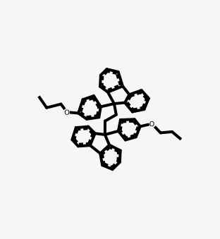 CCCOc1ccc(C2(CCC3(c4ccc(OCCC)cc4)c4ccccc4-c4ccccc43)c3ccccc3-c3ccccc32)cc1